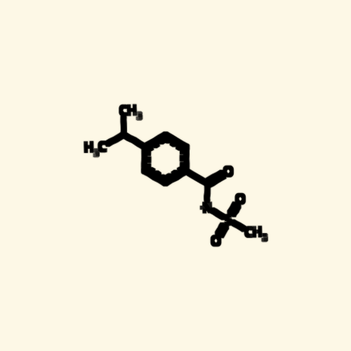 CC(C)c1ccc(C(=O)[N]S(C)(=O)=O)cc1